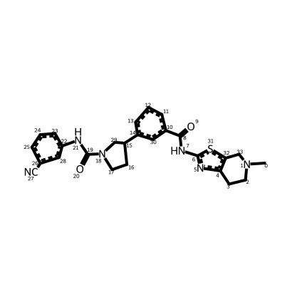 CN1CCc2nc(NC(=O)c3cccc(C4CCN(C(=O)Nc5cccc(C#N)c5)C4)c3)sc2C1